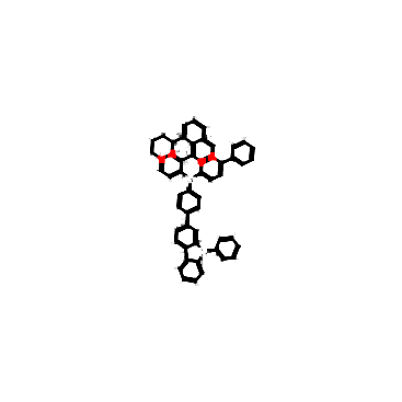 c1ccc(-c2ccc(N(c3ccc(-c4ccc5c6ccccc6n(-c6ccccc6)c5c4)cc3)c3ccccc3-c3cccc4cccc(C5CCCCC5)c34)cc2)cc1